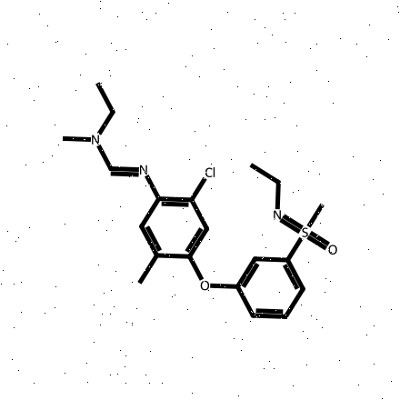 CCN=S(C)(=O)c1cccc(Oc2cc(Cl)c(N=CN(C)CC)cc2C)c1